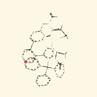 C=C(CCC)N(Cc1ccc(-c2ccccc2-c2nnnn2C(c2ccccc2)(c2ccccc2)c2ccccc2)cc1)/C(C(=O)OCC1=C(C)OC(=O)C1)=C(\C)C(C)(C)O